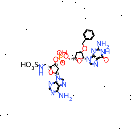 Nc1nc2c(ncn2[C@@H]2O[C@H](COP(=O)(O)O[C@H]3C[C@H](n4cnc5c(N)ncnc54)O[C@@H]3CNS(=O)(=O)O)C[C@H]2OCc2ccccc2)c(=O)[nH]1